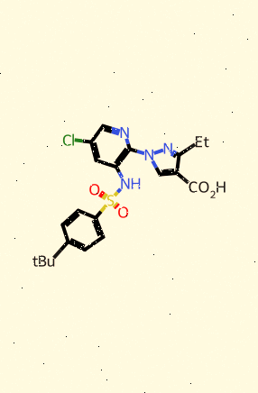 CCc1nn(-c2ncc(Cl)cc2NS(=O)(=O)c2ccc(C(C)(C)C)cc2)cc1C(=O)O